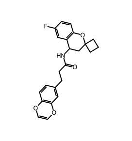 O=C(CCc1ccc2c(c1)OC=CO2)NC1CC2(CCC2)Oc2ccc(F)cc21